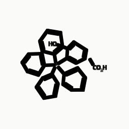 CC(=O)O.Oc1ccccc1P(c1ccccc1)(c1ccccc1)(c1ccccc1)c1ccccc1